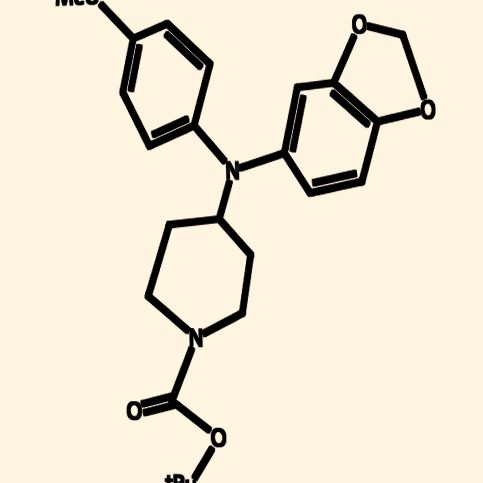 COc1ccc(N(c2ccc3c(c2)OCO3)C2CCN(C(=O)OC(C)(C)C)CC2)cc1